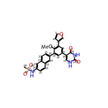 COc1c(-c2ccoc2)cc(-c2c[nH]c(=O)[nH]c2=O)cc1-c1ccc2cc(NS(C)(=O)=O)ccc2c1